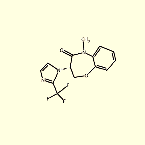 CN1C(=O)[C@@H](n2ccnc2C(F)(F)F)COc2ccccc21